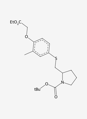 CCOC(=O)COc1ccc(SCC2CCCN2C(=O)OC(C)(C)C)cc1C